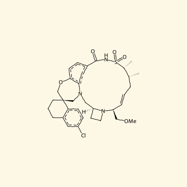 COC[C@@H]1/C=C/C[C@@H](C)[C@@H](C)S(=O)(=O)NC(=O)c2ccc3c(c2)N(C[C@@H]2CCN21)C[C@@]1(CCCc2cc(Cl)ccc21)CO3